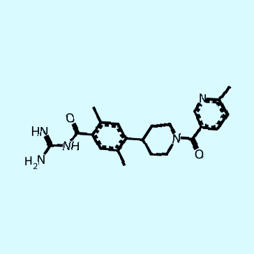 Cc1ccc(C(=O)N2CCC(c3cc(C)c(C(=O)NC(=N)N)cc3C)CC2)cn1